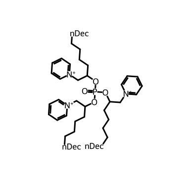 CCCCCCCCCCCCCCC(C[n+]1ccccc1)OP(=O)(OC(CCCCCCCCCCCCCC)C[n+]1ccccc1)OC(CCCCCCCCCCCCCC)C[n+]1ccccc1